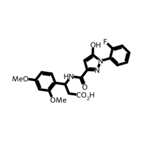 COc1ccc(C(CC(=O)O)NC(=O)c2cc(O)n(-c3ccccc3F)n2)c(OC)c1